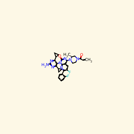 C=CC(=O)N1CCN(c2nc(=O)n(-c3c(C4CC4)nc(N)nc3C3CC3)c3nc(-c4ccccc4F)c(F)cc23)[C@@H](C)C1